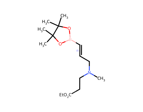 CCOC(=O)CCN(C)C/C=C/B1OC(C)(C)C(C)(C)O1